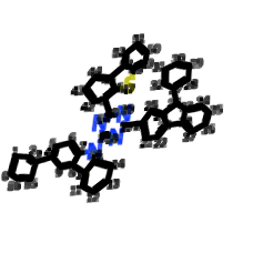 c1ccc(-c2ccc3c(c2)c2ccccc2n3-c2nc(-c3ccc4c(c3)C(c3ccccc3)c3ccccc3-4)nc(-c3cccc4c3sc3ccccc34)n2)cc1